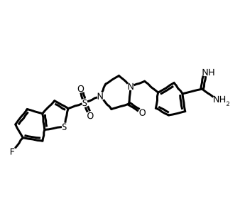 N=C(N)c1cccc(CN2CCN(S(=O)(=O)c3cc4ccc(F)cc4s3)CC2=O)c1